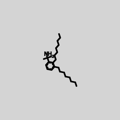 CCCCCCCCc1cccc(C(C)(C)N)c1CCCCCCCC